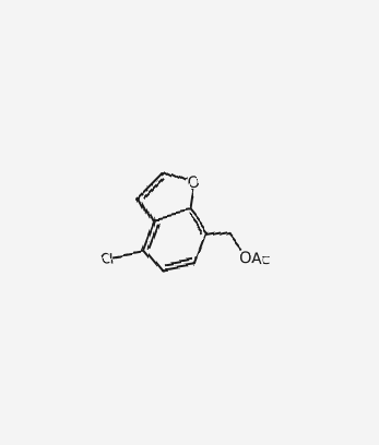 CC(=O)OCc1ccc(Cl)c2ccoc12